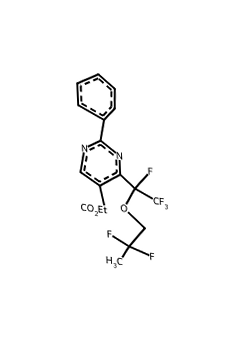 CCOC(=O)c1cnc(-c2ccccc2)nc1C(F)(OCC(C)(F)F)C(F)(F)F